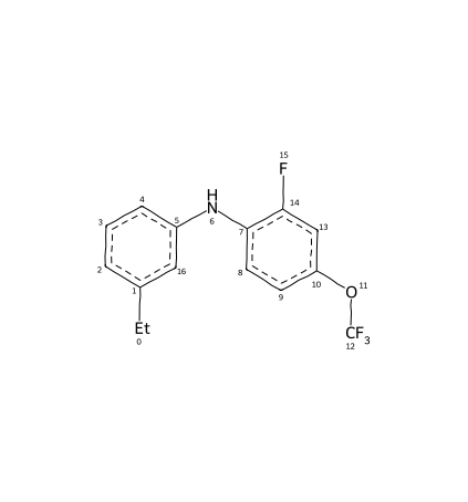 CCc1cccc(Nc2ccc(OC(F)(F)F)cc2F)c1